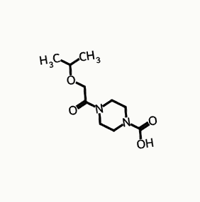 CC(C)OCC(=O)N1CCN(C(=O)O)CC1